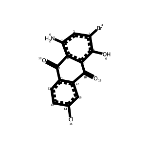 Nc1cc(Br)c(O)c2c1C(=O)c1ccc(Cl)cc1C2=O